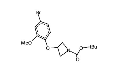 COc1cc(Br)ccc1OC1CN(C(=O)OC(C)(C)C)C1